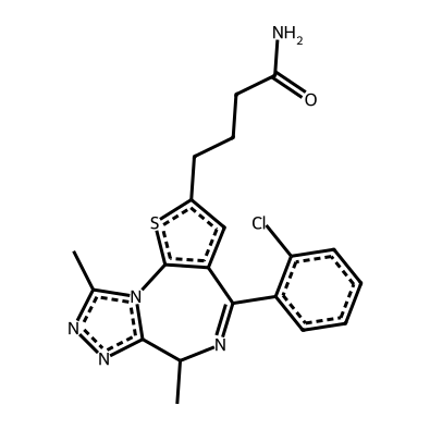 Cc1nnc2n1-c1sc(CCCC(N)=O)cc1C(c1ccccc1Cl)=NC2C